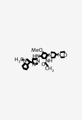 C=CC(=O)Nc1cc(Nc2cc(-c3cn(C)c4ccccc34)ncn2)c(OC)cc1N1CCC(N2CCOCC2)CC1